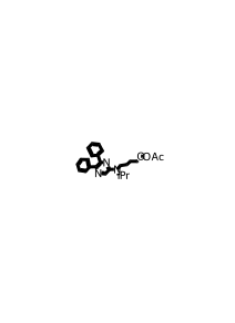 CC(=O)OOCCCCN(c1cnc(-c2ccccc2)c(-c2ccccc2)n1)C(C)C